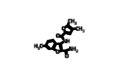 Cc1ccc2c(NC(=O)c3cc(C)c(C)o3)c(C(N)=O)oc2c1